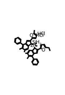 CCc1ccc(C2=Cc3c(cc(C)c(C)c3-c3ccccc3)[CH]2[Zr]([CH3])([CH3])(=[SiH2])[CH]2C(c3ccc(C)o3)=Cc3c2cc(C)c(C)c3-c2ccccc2)o1.Cl.Cl